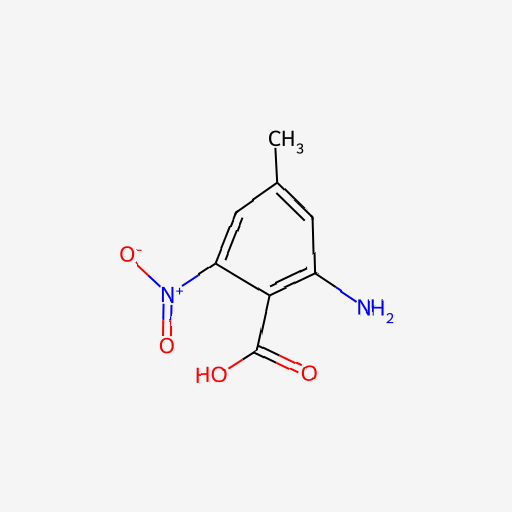 Cc1cc(N)c(C(=O)O)c([N+](=O)[O-])c1